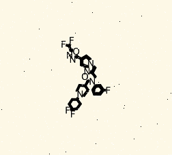 O=C(C1CCN(C2CCC(F)(F)CC2)CC1)N(Cc1cn2ccc(-c3nnc(C(F)F)o3)cc2n1)c1cccc(F)c1